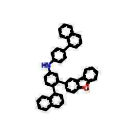 c1ccc2c(-c3ccc(Nc4ccc(-c5cccc6ccccc56)c(-c5ccc6oc7ccccc7c6c5)c4)cc3)cccc2c1